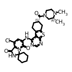 C[C@@H]1CN(C(=O)[C@H]2CCc3c(sc4ncnc(Nc5cc(Cl)c6n(c5=O)C5(CCCCC5)NC6=O)c34)C2)CCN1C